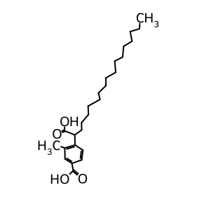 CCCCCCCCCCCCCCCCC(C(=O)O)c1ccc(C(=O)O)cc1C